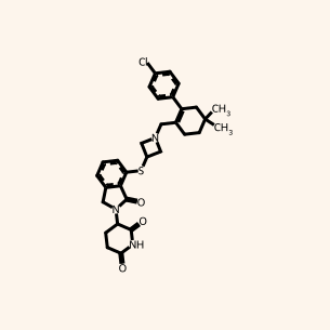 CC1(C)CCC(CN2CC(Sc3cccc4c3C(=O)N(C3CCC(=O)NC3=O)C4)C2)=C(c2ccc(Cl)cc2)C1